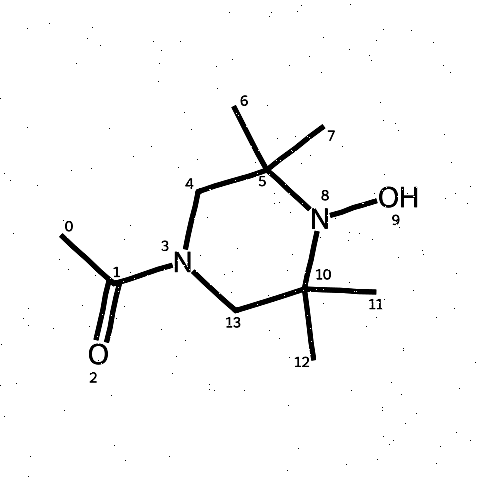 CC(=O)N1CC(C)(C)N(O)C(C)(C)C1